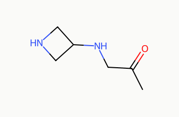 CC(=O)CNC1CNC1